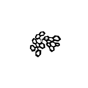 CCc1ccc2cccc3c2c1C1(c2ccccc2-c2ccc(N(c4cccc5c4-c4ccccc4C5(c4ccccc4)c4ccccc4)c4cccc5ccccc45)cc21)c1ccccc1-3